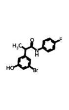 CC(C(=O)Nc1ccc(F)cc1)c1cc(O)cc(Br)c1